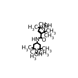 CC1(C)C=C(C(=O)NC2CC(C)(C)N(O)C(C)(C)C2)C(C)(C)N1O